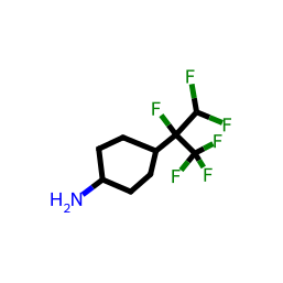 NC1CCC(C(F)(C(F)F)C(F)(F)F)CC1